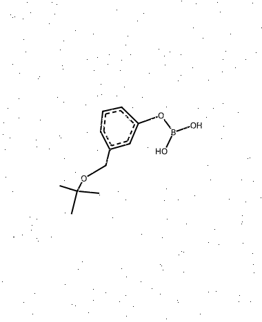 CC(C)(C)OCc1cccc(OB(O)O)c1